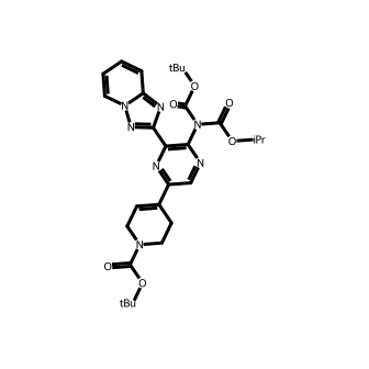 CC(C)OC(=O)N(C(=O)OC(C)(C)C)c1ncc(C2=CCN(C(=O)OC(C)(C)C)CC2)nc1-c1nc2ccccn2n1